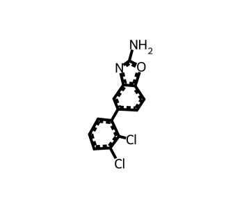 Nc1nc2cc(-c3cccc(Cl)c3Cl)ccc2o1